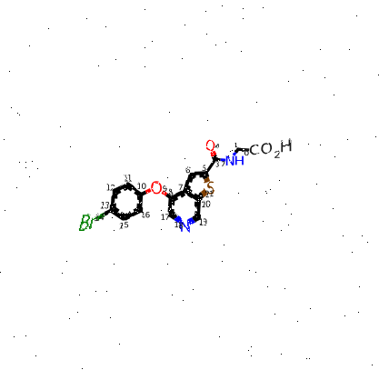 O=C(O)CNC(=O)c1cc2c(Oc3ccc(Br)cc3)cncc2s1